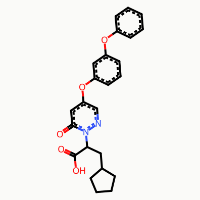 O=C(O)C(CC1CCCC1)n1ncc(Oc2cccc(Oc3ccccc3)c2)cc1=O